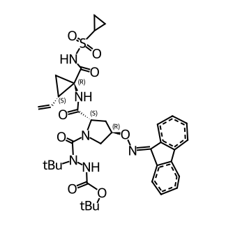 C=C[C@@H]1C[C@]1(NC(=O)[C@@H]1C[C@@H](ON=C2c3ccccc3-c3ccccc32)CN1C(=O)N(NC(=O)OC(C)(C)C)C(C)(C)C)C(=O)NS(=O)(=O)C1CC1